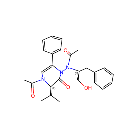 CC(=O)N1C=C(c2ccccc2)N(N(C(C)=O)[C@H](CO)Cc2ccccc2)C(=O)[C@H]1C(C)C